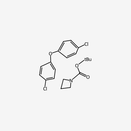 CC(C)(C)OC(=O)N1CCC1.Clc1ccc(Oc2ccc(Cl)cc2)cc1